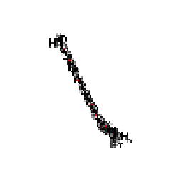 CC(C)CCC[C@@H](C)[C@H]1CCC2C3CC=C4CC(OC(=O)CCOCCOCCOCCOCCOCCOCCOCCOCCOCCOCCOCCOCCNC(=O)CBr)CC[C@]4(C)C3CC[C@@]21C